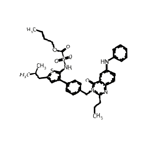 CCCCOC(=O)S(=O)(=O)Nc1sc(CC(C)C)cc1-c1ccc(Cn2c(CCC)nc3ccc(Nc4ccccc4)cc3c2=O)cc1